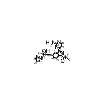 CN(C)C(=O)c1nn(-c2ccnc(N)n2)c2cc(C#CC(C)(O)Cn3cccn3)ccc12